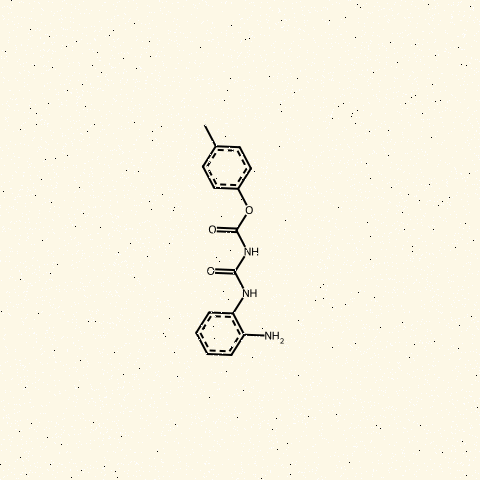 Cc1ccc(OC(=O)NC(=O)Nc2ccccc2N)cc1